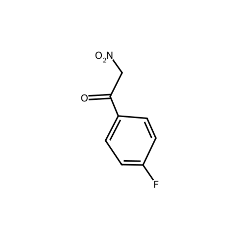 O=C(C[N+](=O)[O-])c1ccc(F)cc1